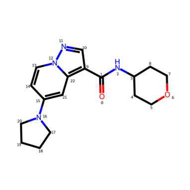 O=C(NC1CCOCC1)c1cnn2ccc(N3CCCC3)cc12